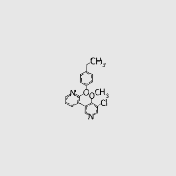 CCc1ccc(Oc2ncccc2-c2cncc(Cl)c2OC)cc1